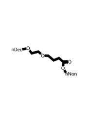 CCCCCCCCCCOCCOCCCC(=O)OCCCCCCCCC